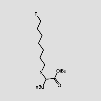 CCCCC(SCCCCCCCF)C(=O)OCC(C)C